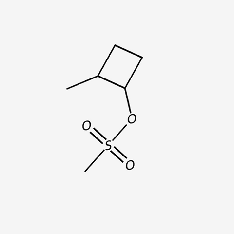 CC1CCC1OS(C)(=O)=O